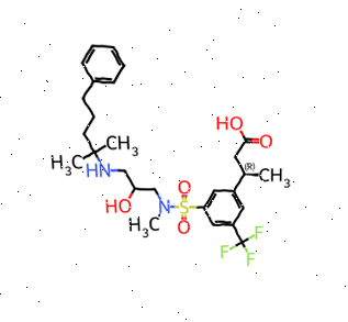 C[C@H](CC(=O)O)c1cc(C(F)(F)F)cc(S(=O)(=O)N(C)CC(O)CNC(C)(C)CCCc2ccccc2)c1